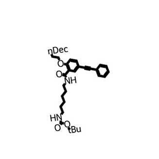 CCCCCCCCCCCCOc1ccc(C#Cc2ccccc2)cc1C(=O)NCCCCCCNC(=O)OC(C)(C)C